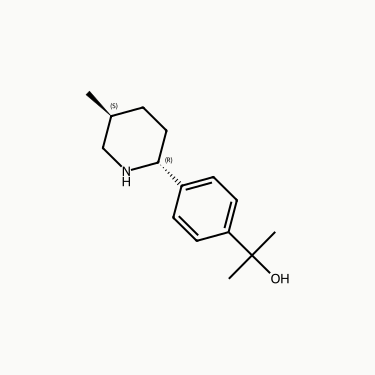 C[C@H]1CC[C@H](c2ccc(C(C)(C)O)cc2)NC1